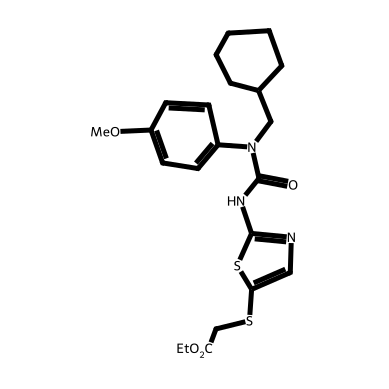 CCOC(=O)CSc1cnc(NC(=O)N(CC2CCCCC2)c2ccc(OC)cc2)s1